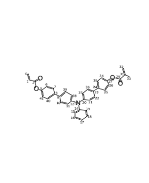 C=CC(=O)Oc1ccc(-c2ccc(N(c3ccccc3)c3ccc(-c4ccc(OC(=O)C(=C)C)cc4)cc3)cc2)cc1